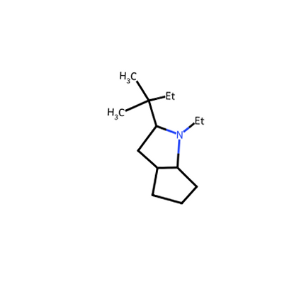 CCN1C2CCCC2CC1C(C)(C)CC